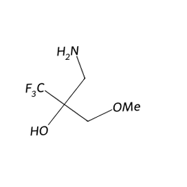 COCC(O)(CN)C(F)(F)F